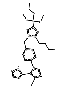 CCCCc1nc(C(CCC)(OC)OC)nn1Cc1ccc(-n2ccc(C)c2-c2nnn[nH]2)cc1